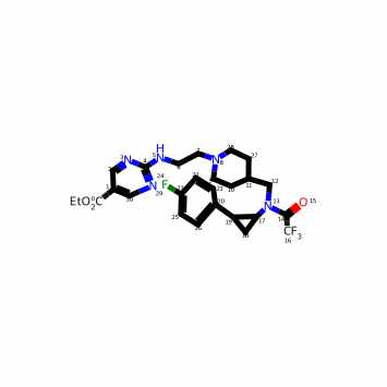 CCOC(=O)c1cnc(NCCN2CCC(CN(C(=O)C(F)(F)F)C3CC3c3ccc(F)cc3)CC2)nc1